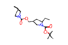 CCC1CC(COC(=O)N2CC(C)C2)CN1C(=O)OC(C)(C)C